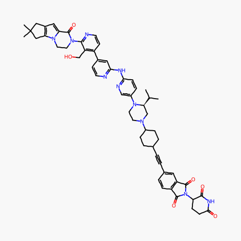 CC(C)[C@H]1CN(C2CCC(C#Cc3ccc4c(c3)C(=O)N(C3CCC(=O)NC3=O)C4=O)CC2)CCN1c1ccc(Nc2cc(-c3ccnc(N4CCn5c(cc6c5CC(C)(C)C6)C4=O)c3CO)ccn2)nc1